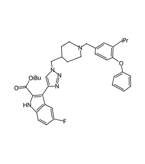 CC(C)COC(=O)c1[nH]c2ccc(F)cc2c1-c1cn(CC2CCN(Cc3ccc(Oc4ccccc4)c(C(C)C)c3)CC2)nn1